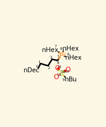 CCCCCCCCCCCCCC[P+](CCCCCC)(CCCCCC)CCCCCC.CCCCS(=O)(=O)[O-]